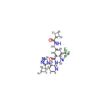 CC1CC(c2ccnc(-n3cnc4c(C(F)(F)F)cc(CNC(=O)C5CCC5)cc4c3=O)c2)(c2nncn2C)C1